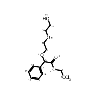 O=C(OCC(Cl)(Cl)Cl)C(OCCOCCO)c1ccccc1